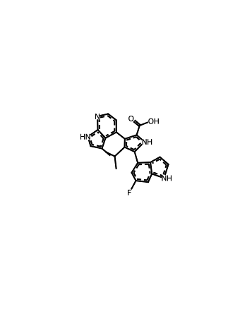 Cc1c[nH]c2nccc(-c3c(C(=O)O)[nH]c(-c4cc(F)cc5[nH]ccc45)c3C(C)C)c12